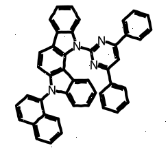 c1ccc(-c2cc(-c3ccccc3)nc(-n3c4ccccc4c4ccc5c(c6ccccc6n5-c5cccc6ccccc56)c43)n2)cc1